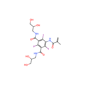 C=C(C)C(=O)Nc1c(I)c(C(=O)NCC(O)CO)c(I)c(C(=O)NCC(O)CO)c1I